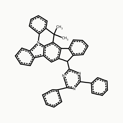 CC1(C)c2ccccc2-n2c3ccccc3c3cc4c(c1c32)-c1ccccc1C4c1nc(-c2ccccc2)nc(-c2ccccc2)n1